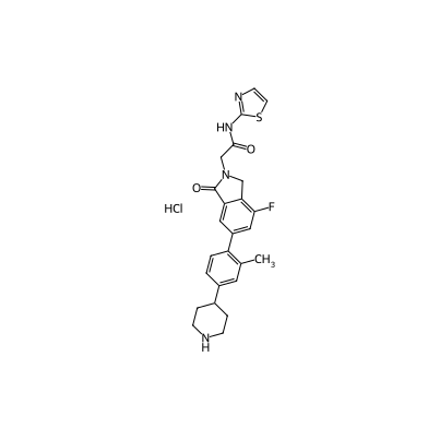 Cc1cc(C2CCNCC2)ccc1-c1cc(F)c2c(c1)C(=O)N(CC(=O)Nc1nccs1)C2.Cl